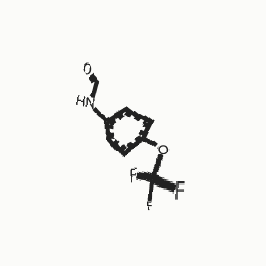 O=CNc1ccc(OC(F)(F)F)cc1